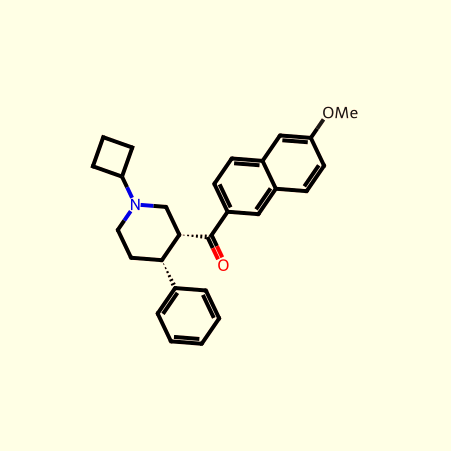 COc1ccc2cc(C(=O)[C@H]3CN(C4CCC4)CC[C@H]3c3ccccc3)ccc2c1